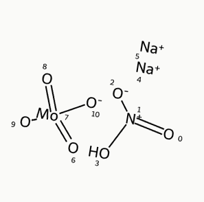 O=[N+]([O-])O.[Na+].[Na+].[O]=[Mo](=[O])([O-])[O-]